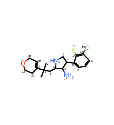 CC(C)(CC1NCC(c2cccc(Cl)c2F)C1N)C1=CCOCC1